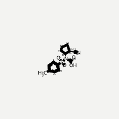 Cc1ccc(S(=O)(=O)N(C(=O)O)[C@@H]2CCC[C@H]2C#N)cc1